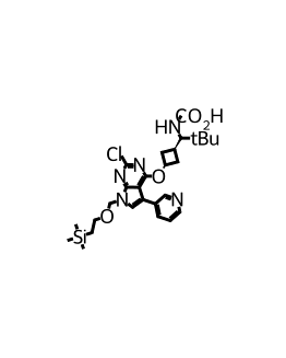 CC(C)(C)C(NC(=O)O)[C@H]1C[C@H](Oc2nc(Cl)nc3c2c(-c2cccnc2)cn3COCC[Si](C)(C)C)C1